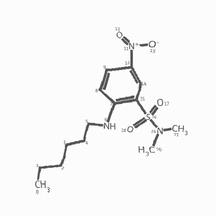 CCCCCCNc1ccc([N+](=O)[O-])cc1S(=O)(=O)N(C)C